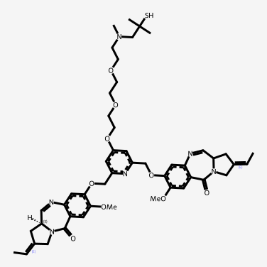 C/C=C1\CC2C=Nc3cc(OCc4cc(OCCOCCOCCN(C)CC(C)(C)S)cc(COc5cc6c(cc5OC)C(=O)N5C/C(=C/C)C[C@H]5C=N6)n4)c(OC)cc3C(=O)N2C1